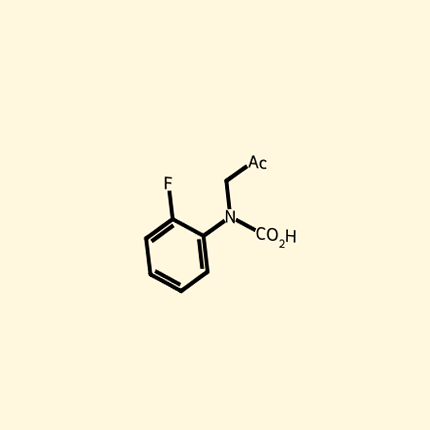 CC(=O)CN(C(=O)O)c1ccccc1F